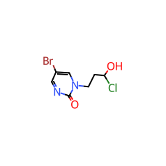 O=c1ncc(Br)cn1CCC(O)Cl